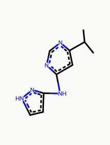 CC(C)c1cc(Nc2cc[nH]n2)ncn1